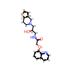 O=C(COc1cccc2cccnc12)NCC(O)CN1CCc2sccc2C1